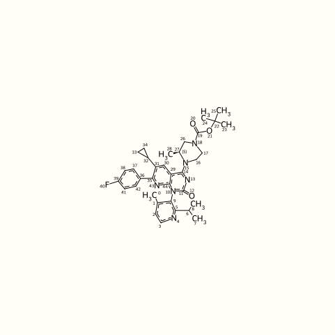 Cc1ccnc(C(C)C)c1-n1c(=O)nc(N2CCN(C(=O)OC(C)(C)C)C[C@@H]2C)c2cc(C3CC3)c(-c3ccc(F)cc3)nc21